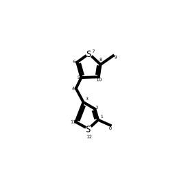 Cc1cc(Cc2csc(C)c2)cs1